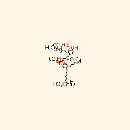 CC(C)(CCCCCCc1cc(OC2CC2(CCCCCc2ccc(O)c(O)c2CCCCCCC(C)(C)C(=O)O)C(=O)O)c(O)cc1CCCCCC1(C(=O)O)CC1)C(=O)O